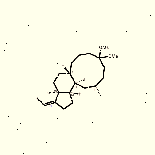 C/C=C1/CC[C@H]2[C@@H]3C[C@@H](F)CCC(OC)(OC)CCC[C@H]3CC[C@]12C